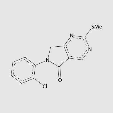 CSc1ncc2c(n1)CN(c1ccccc1Cl)C2=O